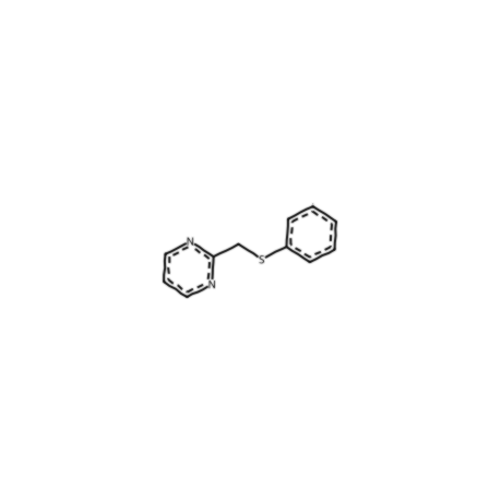 [c]1cccc(SCc2ncccn2)c1